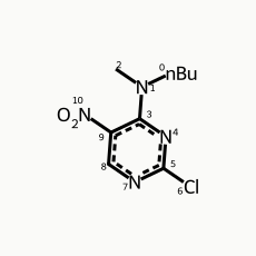 CCCCN(C)c1nc(Cl)ncc1[N+](=O)[O-]